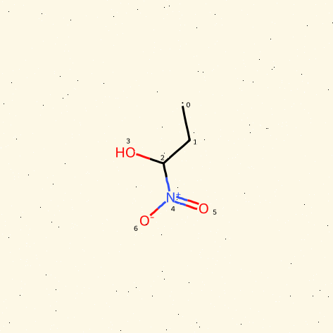 [CH2]CC(O)[N+](=O)[O-]